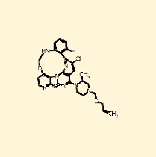 C=CCOCN1CCN(c2nc(=O)n3c4nc(c(Cl)cc24)-c2c(F)cccc2NCCOc2ccnc(C(C)C)c2-3)[C@@H](C)C1